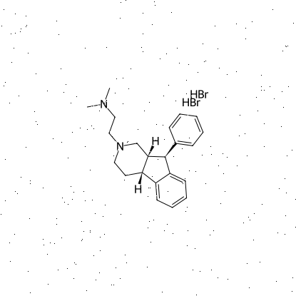 Br.Br.CN(C)CCN1CC[C@H]2c3ccccc3[C@H](c3ccccc3)[C@H]2C1